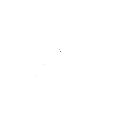 C=CC(=O)N1CCN2c3ncc(C(F)(F)F)cc3N[C@@H]2C1